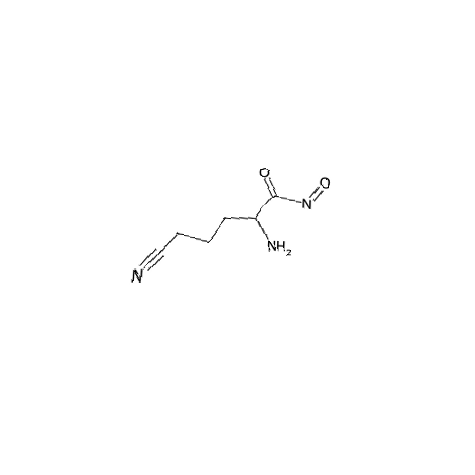 N#CCCCC(N)C(=O)N=O